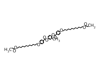 C=CC(=O)OCCCCCCCCCCCCOc1ccc(C(=O)Oc2ccc(OC(=O)c3ccc(OCCCCCCCCCCCCOC(=O)CC)cc3)cc2C)cc1